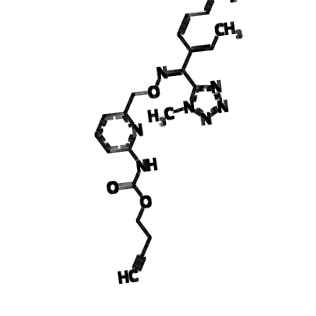 C#CCCOC(=O)Nc1cccc(CO/N=C(C(/C=C\C=C)=C/C)\c2nnnn2C)n1